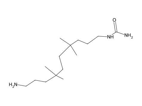 CC(C)(CCCN)CCC(C)(C)CCCNC(N)=O